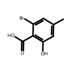 Cc1cc(O)c(C(=O)O)c(Br)c1